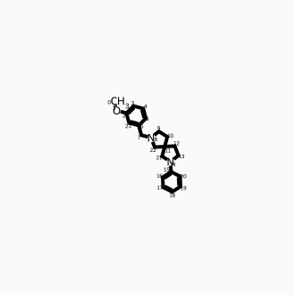 COc1cccc(CN2CCC3(CCN(c4ccccc4)C3)C2)c1